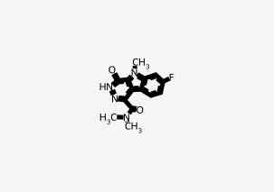 CN(C)C(=O)c1n[nH]c(=O)c2c1c1ccc(F)cc1n2C